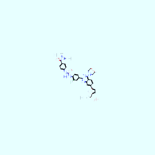 CC(O)c1ccc(-c2ccc3c(N4CCOCC4)nc(-c4ccc(NC(=O)Nc5ccc(C(=O)N(C)C)cc5)c(F)c4)nc3c2)o1